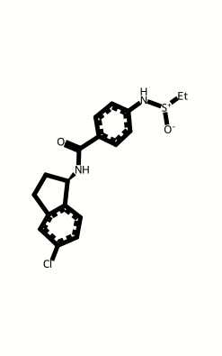 CC[S+]([O-])Nc1ccc(C(=O)N[C@@H]2CCc3cc(Cl)ccc32)cc1